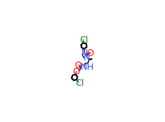 C=C(CCNC(=O)COc1cccc(Cl)c1)N1CCN(c2ccc(Cl)cc2)C1=O